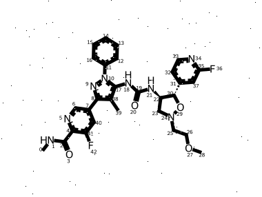 CNC(=O)c1ncc(-c2nn(-c3ccccc3)c(NC(=O)N[C@@H]3CN(CCOC)O[C@H]3c3ccnc(F)c3)c2C)cc1F